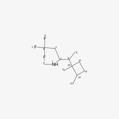 CNC(CC(F)(F)F)C(C)C1(C)CCC1C